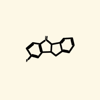 Fc1ccc2c(c1)C1Cc3ccccc3C1N2